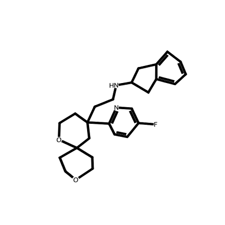 Fc1ccc(C2(CCNC3Cc4ccccc4C3)CCOC3(CCOCC3)C2)nc1